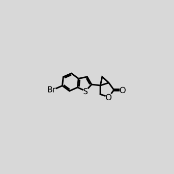 O=C1OCC2(c3cc4ccc(Br)cc4s3)CC12